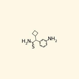 NC(=S)C(c1cccc(N)c1)C1CCC1